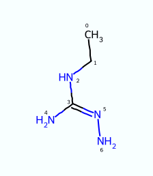 CCNC(N)=NN